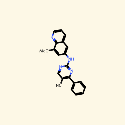 COc1cc(Nc2ncc(C#N)c(-c3ccccc3)n2)cc2cccnc12